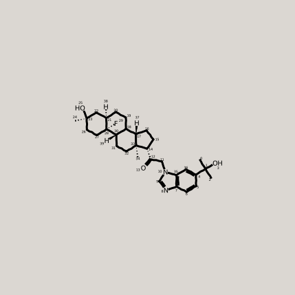 CC(C)(O)c1ccc2ncn(CC(=O)[C@H]3CC[C@H]4C5CC[C@@H]6C[C@](C)(O)CC[C@]6(F)[C@H]5CC[C@]34C)c2c1